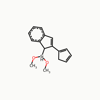 CO[SiH](OC)C1C(C2=CC=CC2)=Cc2ccccc21